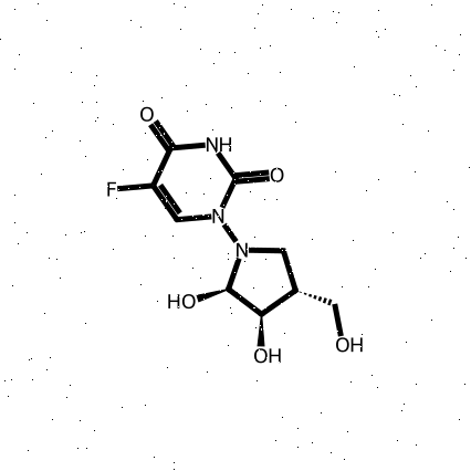 O=c1[nH]c(=O)n(N2C[C@H](CO)[C@@H](O)[C@H]2O)cc1F